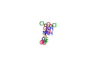 O=C(NC1c2ccc(Cl)cc2Oc2cc(Cl)ccc21)c1cnc(SCc2ccc([N+](=O)[O-])c(C(F)(F)F)c2)[nH]c1=O